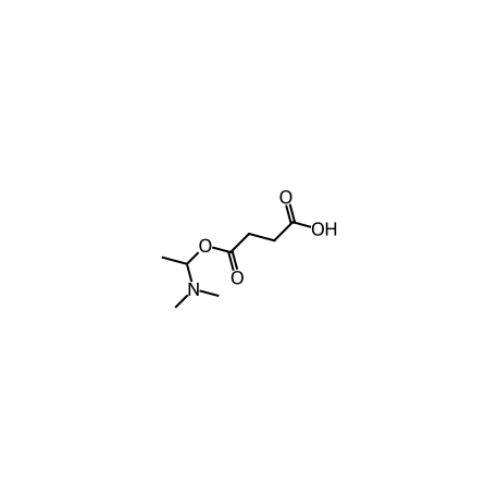 CC(OC(=O)CCC(=O)O)N(C)C